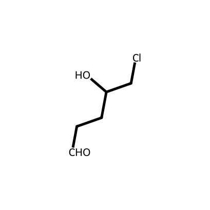 O=CCCC(O)CCl